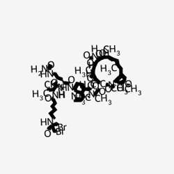 COc1cc2cc(c1Cl)N(C)C(=O)C[C@H](OC(=O)[C@H](C)N(C)C(=O)c1ccc(NC(=O)[C@H](CCCNC(N)=O)NC(=O)[C@@H](NC(=O)CCCCCNC(C=O)(CBr)CBr)C(C)C)c3ncccc13)[C@]1(C)O[C@H]1[C@H](C)[C@@H]1C[C@@](O)(NC(=O)O1)[C@H](OC)/C=C/C=C(\C)C2